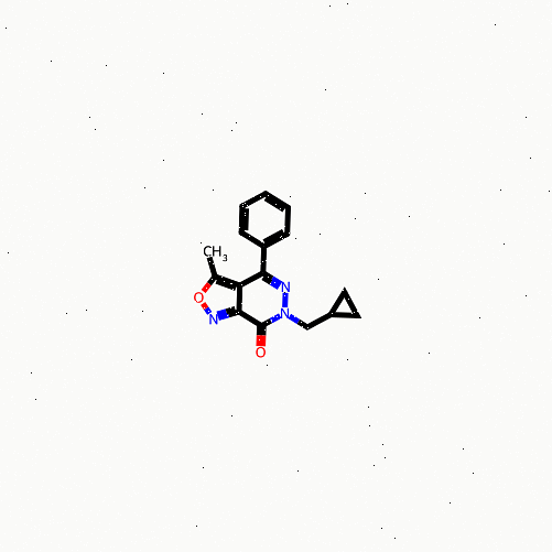 Cc1onc2c(=O)n(CC3CC3)nc(-c3ccccc3)c12